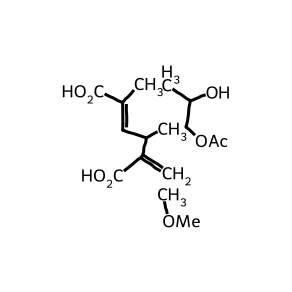 C=C(C(=O)O)C(C)C=C(C)C(=O)O.CC(=O)OCC(C)O.COC